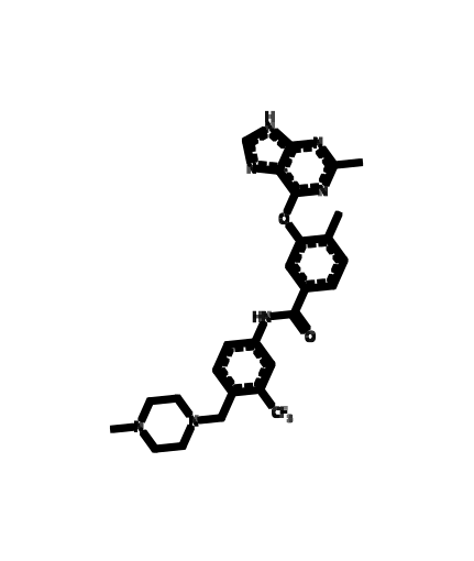 Cc1nc(Oc2cc(C(=O)Nc3ccc(CN4CCN(C)CC4)c(C(F)(F)F)c3)ccc2C)c2nc[nH]c2n1